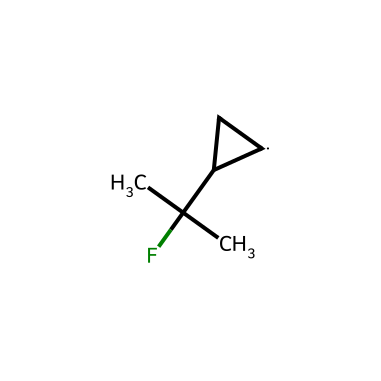 CC(C)(F)C1[CH]C1